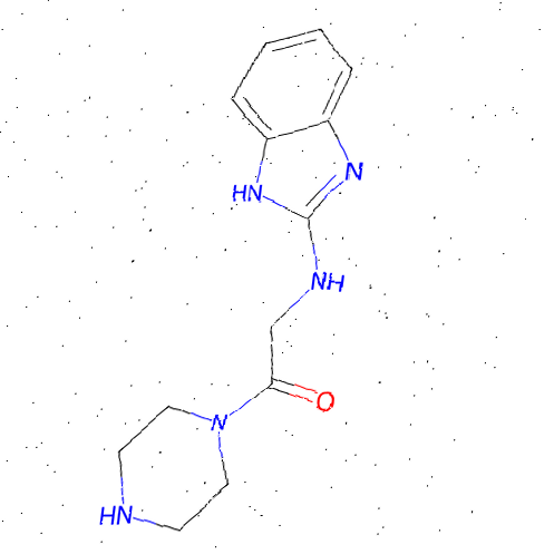 O=C(CNc1nc2ccccc2[nH]1)N1CCNCC1